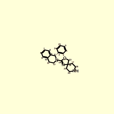 c1ccc([C@H]2c3ccccc3CCN2C2=NC3(CCNCC3)CO2)cc1